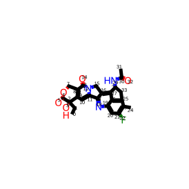 CC[C@@]1(O)C(=O)OCc2c1cc1n(c2=O)Cc2c-1nc1cc(F)c(C)c3c1c2C(NC(C)=O)C3